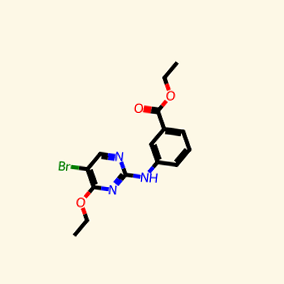 CCOC(=O)c1cccc(Nc2ncc(Br)c(OCC)n2)c1